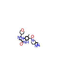 Cc1cc2c(cc1C(=O)N1CCc3nn(C)cc3C1)[nH]c(=O)c1cnc(C3CCOCC3)n12